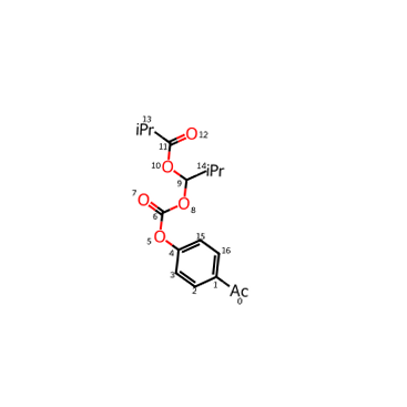 CC(=O)c1ccc(OC(=O)OC(OC(=O)C(C)C)C(C)C)cc1